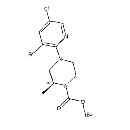 C[C@H]1CN(c2ncc(Cl)cc2Br)CCN1C(=O)OC(C)(C)C